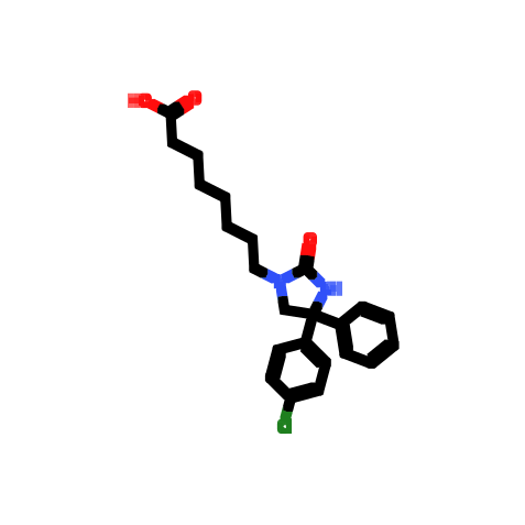 O=C(O)CCCCCCCN1CC(c2ccccc2)(c2ccc(Cl)cc2)NC1=O